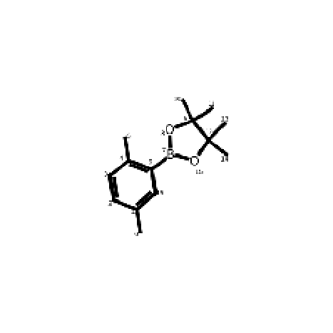 Cc1ccc(C)c(B2OC(C)(C)C(C)(C)O2)c1